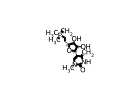 C=C1NC(=O)N(C)C=C1[C@@H]1O[C@H](CCP(=C)(C)C)[C@@H](O)[C@H]1O